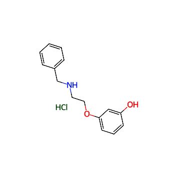 Cl.Oc1cccc(OCCNCc2ccccc2)c1